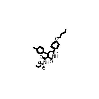 CCCCOc1ccc([C@]2(C)CC(c3ccc(C)cc3)=C(C(=O)NS(=O)(=O)CC)C(=O)N2)cc1